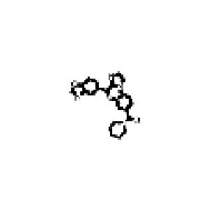 O=C(c1ccc2c(c1)nc(-c1ccc3ocnc3c1)c1nccn12)N1CCCCC1